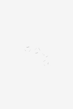 Cc1ccc(-c2c(C)c3c(c(C)c2CC(=O)O)CN(C(=O)c2cc(F)cc(F)c2)C3)cc1